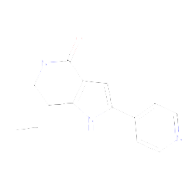 CC(C)C[C@@H]1CNC(=O)c2cc(-c3ccncc3)[nH]c21